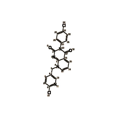 O=c1nc2n(Cc3ccc(Cl)nc3)cccc-2c(=O)n1-c1ccc(Cl)cc1